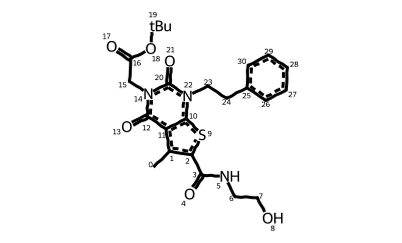 Cc1c(C(=O)NCCO)sc2c1c(=O)n(CC(=O)OC(C)(C)C)c(=O)n2CCc1ccccc1